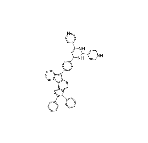 C1=CC(C2NC(c3ccncc3)=CC(c3ccc(-n4c5ccccc5c5c6sc(-c7ccccc7)c(-c7ccccc7)c6ccc54)cc3)N2)=CCN1